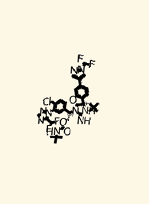 CC(C)(C)C[C@]1(c2ccc(-c3cnn(C(F)F)c3)cc2)NC(=N)N([C@H](COC(=O)NC(C)(C)C)c2ccc(Cl)c(-n3ncnc3C(F)F)c2)C1=O